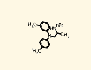 C=C(CN(c1ccc(C)cc1)c1cccc(C)c1)NCCC